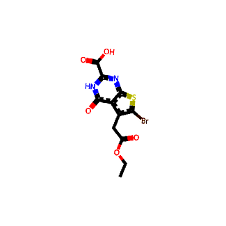 CCOC(=O)Cc1c(Br)sc2nc(C(=O)O)[nH]c(=O)c12